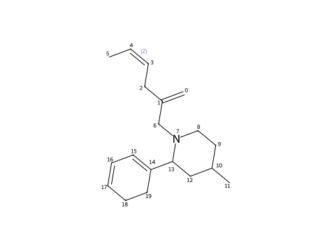 C=C(C/C=C\C)CN1CCC(C)CC1C1=CC=CCC1